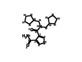 NC(=O)c1cscc1C(=O)N(CC1CCCC1)CC1CCCC1